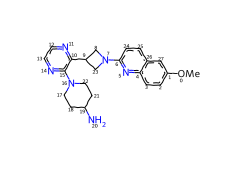 COc1ccc2nc(N3CC(c4nccnc4N4CCC(N)CC4)C3)ccc2c1